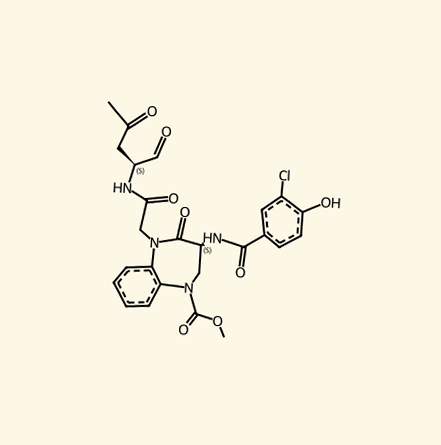 COC(=O)N1C[C@H](NC(=O)c2ccc(O)c(Cl)c2)C(=O)N(CC(=O)N[C@H](C=O)CC(C)=O)c2ccccc21